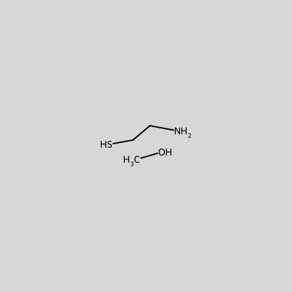 CO.NCCS